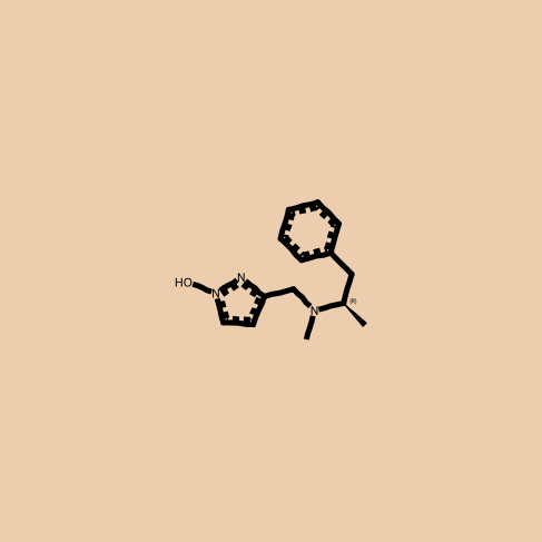 C[C@H](Cc1ccccc1)N(C)Cc1ccn(O)n1